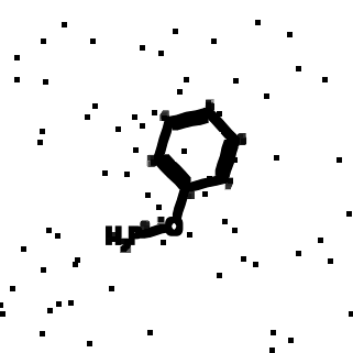 POc1ccccc1